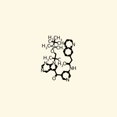 CC(C)(CO[Si](C)(C)C(C)(C)C)n1cc(C(=O)c2cncc(NC(=O)Cc3ccc4cccnc4c3)c2)c2cncnc21